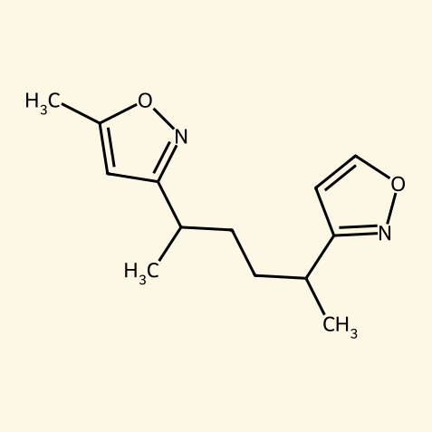 Cc1cc(C(C)CCC(C)c2ccon2)no1